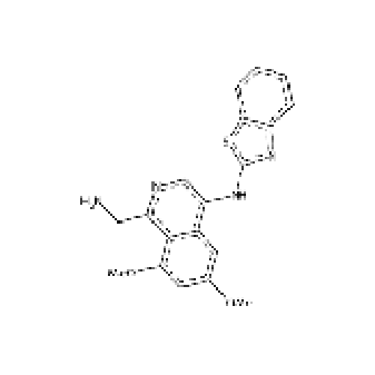 COc1cc(OC)c2c(CN)ncc(Nc3nc4ccccc4s3)c2c1